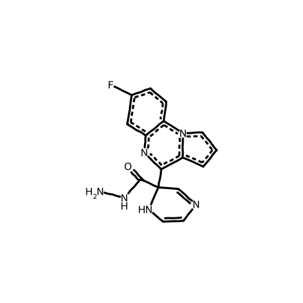 NNC(=O)C1(c2nc3cc(F)ccc3n3cccc23)C=NC=CN1